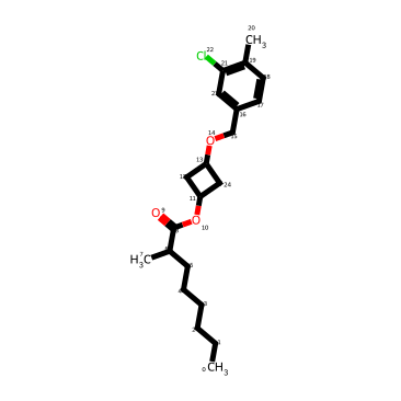 CCCCCCC(C)C(=O)OC1CC(OCc2ccc(C)c(Cl)c2)C1